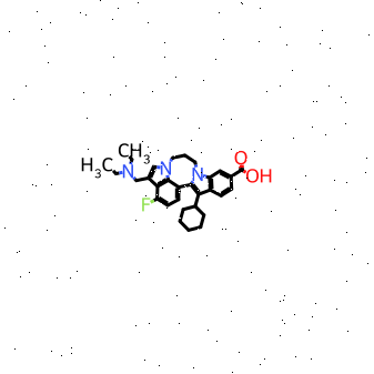 CCN(CC)Cc1cn2c3c(ccc(F)c13)-c1c(C3CCCCC3)c3ccc(C(=O)O)cc3n1CCC2